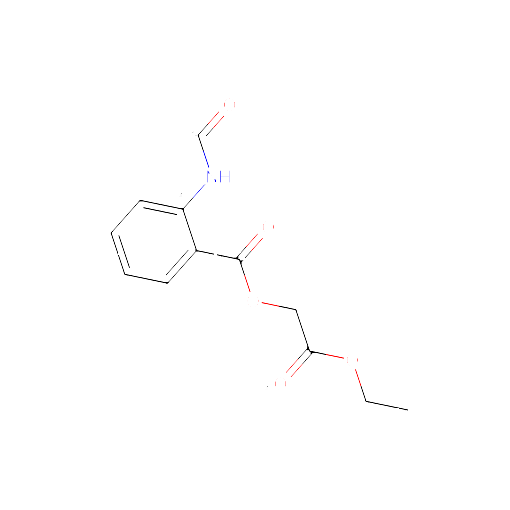 CCOC(=O)COC(=O)c1ccccc1NC=O